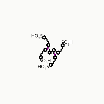 O=S(=O)(O)c1ccc(CCCc2ccc(P(Cc3ccccc3-c3ccccc3CP(c3ccc(CCCc4ccc(S(=O)(=O)O)cc4)cc3)c3ccc(CCCc4ccc(S(=O)(=O)O)cc4)cc3)c3ccc(CCCc4ccc(S(=O)(=O)O)cc4)cc3)cc2)cc1